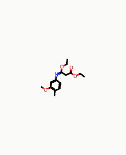 CCOC(=O)C/C(=N\c1ccc(C)c(OC)c1)OCC